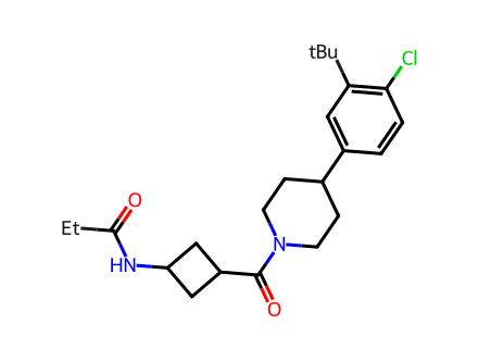 CCC(=O)NC1CC(C(=O)N2CCC(c3ccc(Cl)c(C(C)(C)C)c3)CC2)C1